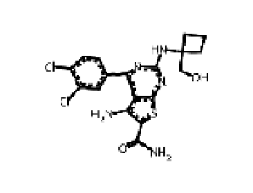 NC(=O)c1sc2nc(NC3(CO)CCC3)nc(-c3ccc(Cl)c(Cl)c3)c2c1N